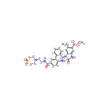 COC(=O)c1cc2c(cc1C)/C(=C(/Nc1ccc(C(=O)NCCN3CCS(=O)(=O)CC3)cc1)c1ccccc1)C(=O)N2